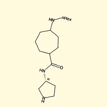 CCCCCCNC1CCCC(C(=O)N[C@@H]2CCNC2)CC1